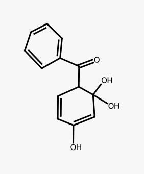 O=C(c1ccccc1)C1C=CC(O)=CC1(O)O